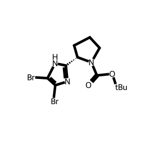 CC(C)(C)OC(=O)N1CCC[C@H]1c1nc(Br)c(Br)[nH]1